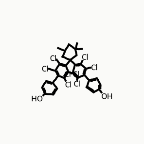 CC1CC(C)(C)CC(c2c(Cl)c(Cl)c(-c3ccc(O)cc3)c(Cl)c2Cl)(c2c(Cl)c(Cl)c(-c3ccc(O)cc3)c(Cl)c2Cl)C1